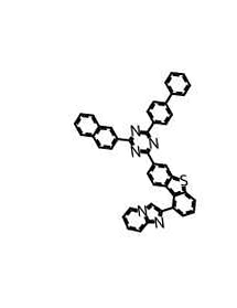 c1ccc(-c2ccc(-c3nc(-c4ccc5ccccc5c4)nc(-c4ccc5c(c4)sc4cccc(-c6cn7ccccc7n6)c45)n3)cc2)cc1